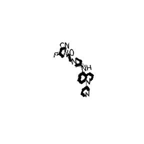 N#C[C@@H]1C[C@H](F)CN1C(=O)CN1CC[C@H](Nc2cccc3c2C=CCN3c2cccnc2)C1